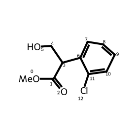 COC(=O)C(CO)c1ccccc1Cl